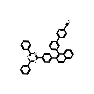 N#Cc1ccc(-c2cccc(-c3c(-c4ccc(-c5nc(-c6ccccc6)nc(-c6ccccc6)n5)cc4)ccc4ccccc34)c2)cc1